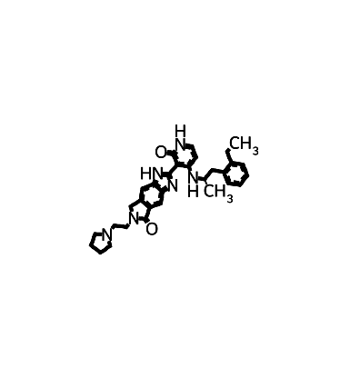 CCc1ccccc1C[C@H](C)Nc1cc[nH]c(=O)c1-c1nc2cc3c(cc2[nH]1)CN(CCN1CCCC1)C3=O